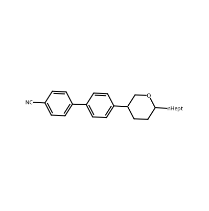 CCCCCCCC1CCC(c2ccc(-c3ccc(C#N)cc3)cc2)CO1